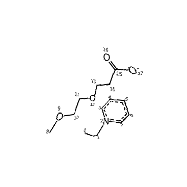 CC[n+]1ccccc1.COCCOCCC(=O)[O-]